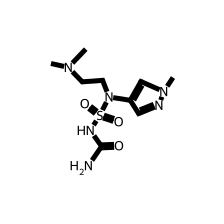 CN(C)CCN(c1cnn(C)c1)S(=O)(=O)NC(N)=O